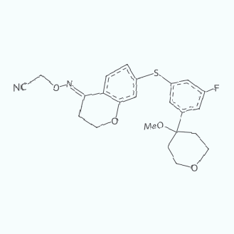 COC1(c2cc(F)cc(Sc3ccc4c(c3)OCCC4=NOCC#N)c2)CCOCC1